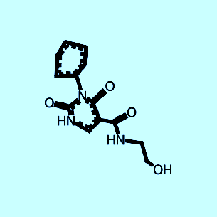 O=C(NCCO)c1c[nH]c(=O)n(-c2ccccc2)c1=O